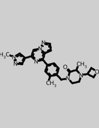 Cc1cc(-c2nc(-c3cnn(C)c3)cn3nccc23)ccc1CN1CCN(C2COC2)C(C)C1=O